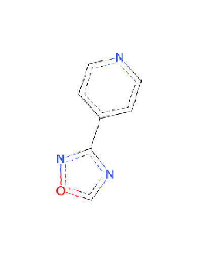 [c]1nc(-c2ccncc2)no1